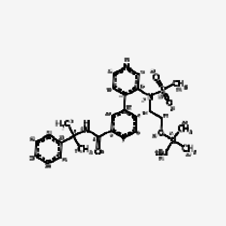 CC(C)(NC(=O)c1cccc(-c2ccncc2N(CCO[Si](C)(C)C(C)(C)C)S(C)(=O)=O)c1)c1ccccc1